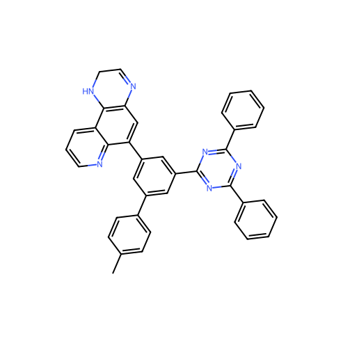 Cc1ccc(-c2cc(-c3nc(-c4ccccc4)nc(-c4ccccc4)n3)cc(-c3cc4c(c5cccnc35)NCC=N4)c2)cc1